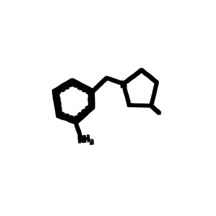 CC1CCN(Cc2cccc(N)c2)C1